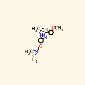 CCN(CC)CCOc1ccc2c(c1)nc(Cc1cccc(OC)c1)n2CC(C)C